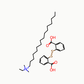 CCCCCCCCCCCCCCCC[N+](C)(C)CC.O=C(O)c1ccccc1SSc1ccccc1C(=O)O